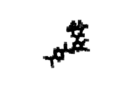 CC1(C)C(=N)NC(c2cc(NC(=O)c3cnc(C(F)F)cn3)cc(F)c2F)CS1(=O)=O